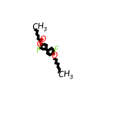 CCCCCCCCOc1ccc(-c2ccc(OC(=O)CCCCCC)c(F)c2)cc1F